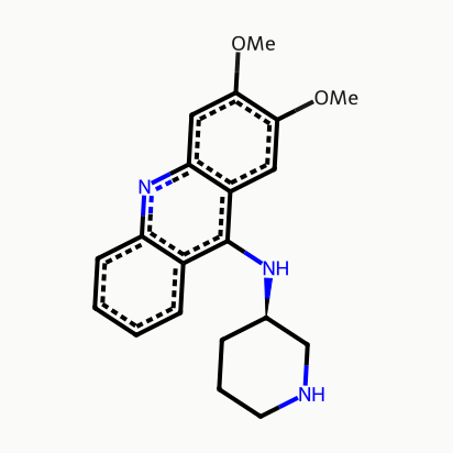 COc1cc2nc3ccccc3c(N[C@@H]3CCCNC3)c2cc1OC